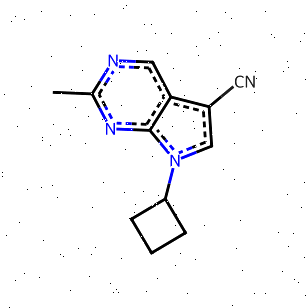 Cc1ncc2c(C#N)cn(C3CCC3)c2n1